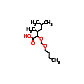 CCCCOCOC(C(=O)O)[C@@H](C)CC(C)C